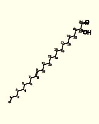 CCCCCCCCC=CCCCCCCCCCCCCC(O)[C]=O